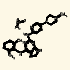 Cc1cccc(C)c1Nc1nc(Nc2ccc(N3CCN(C)CC3)cn2)nc2[nH]ccc12.N[SH](=O)=O